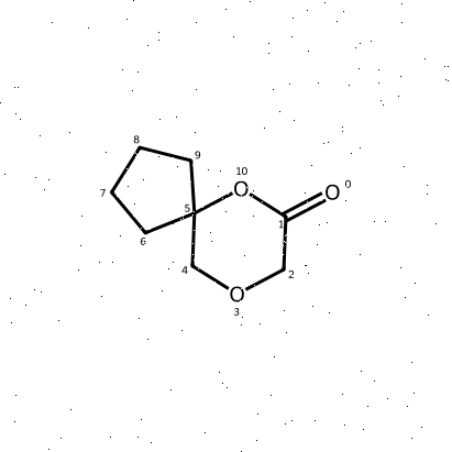 O=C1COCC2(CCCC2)O1